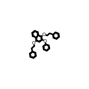 c1ccc(CCOc2cc(Oc3ccccc3)c(OCCc3ccccc3)c3ccccc23)cc1